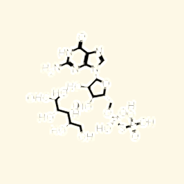 Nc1nc2c(ncn2[C@@H]2O[C@H](COP(=O)(O)SP(=O)(O)O)[C@@H](O)[C@H]2O)c(=O)[nH]1.O=C[C@@H](O)[C@@H](O)[C@H](O)[C@H](O)CO